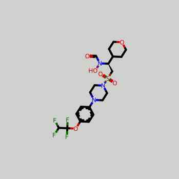 O=CN(O)[C@H](CS(=O)(=O)N1CCN(c2ccc(OC(F)(F)C(F)F)cc2)CC1)C1CCOCC1